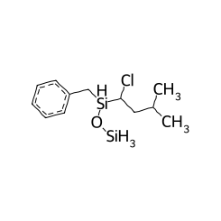 CC(C)CC(Cl)[SiH](Cc1ccccc1)O[SiH3]